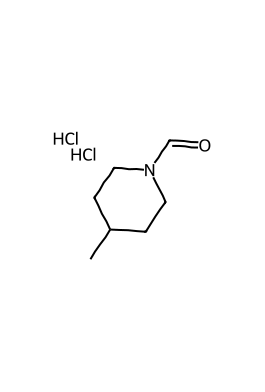 CC1CCN(C=O)CC1.Cl.Cl